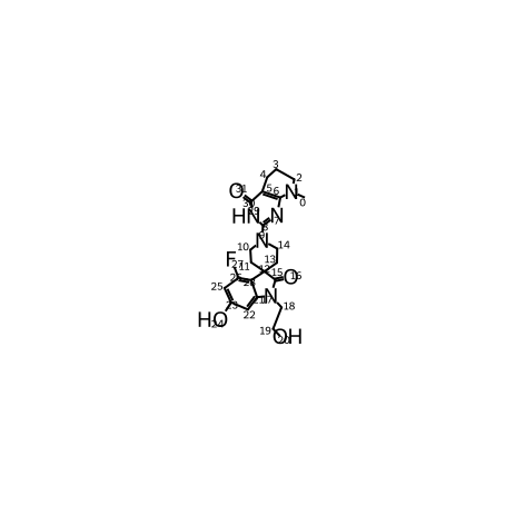 CN1CCCc2c1nc(N1CCC3(CC1)C(=O)N(CCO)c1cc(O)cc(F)c13)[nH]c2=O